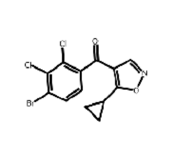 O=C(c1cnoc1C1CC1)c1ccc(Br)c(Cl)c1Cl